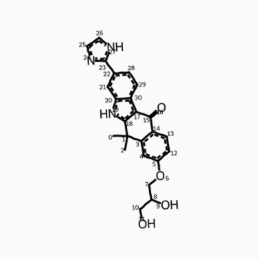 CC1(C)c2cc(OCC(O)CO)ccc2C(=O)c2c1[nH]c1cc(-c3ncc[nH]3)ccc21